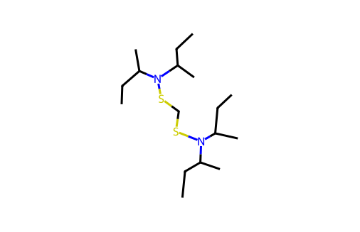 CCC(C)N(SCSN(C(C)CC)C(C)CC)C(C)CC